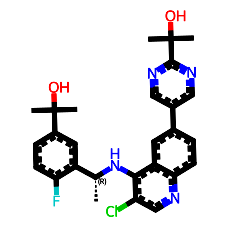 C[C@@H](Nc1c(Cl)cnc2ccc(-c3cnc(C(C)(C)O)nc3)cc12)c1cc(C(C)(C)O)ccc1F